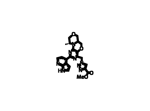 COC(=O)c1cn(Cc2nc(-c3ccnc4[nH]ccc34)nc3c2OCC2COC[C@@H](C)N32)nn1